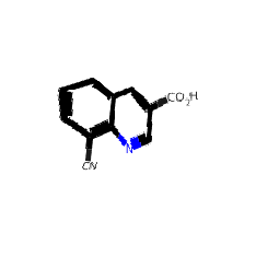 N#Cc1cccc2cc(C(=O)O)cnc12